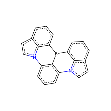 c1cc2c3c(c1)-n1ccc4cccc(c41)B3c1cccc3ccn-2c13